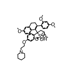 COCCC(C1=C(c2ccc(OC)cc2OC)CCc2cc(OC)ccc21)(c1ccc(OCCN2CCCCC2)cc1)S(=O)(=O)O